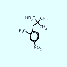 CC(C)(Cc1ccc([N+](=O)[O-])cc1C(F)(F)F)C(=O)O